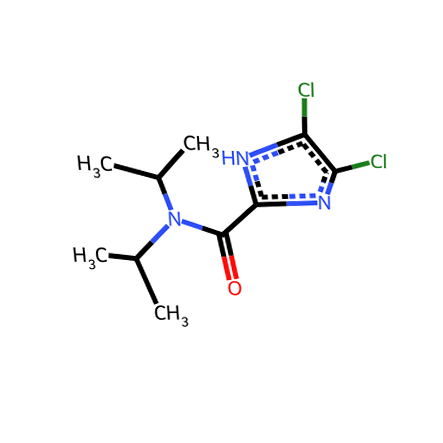 CC(C)N(C(=O)c1nc(Cl)c(Cl)[nH]1)C(C)C